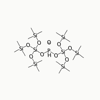 C[Si](C)(C)O[Si](O[PH](=O)O[Si](O[Si](C)(C)C)(O[Si](C)(C)C)O[Si](C)(C)C)(O[Si](C)(C)C)O[Si](C)(C)C